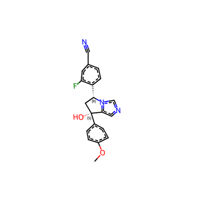 COc1ccc([C@@]2(O)C[C@H](c3ccc(C#N)cc3F)n3cncc32)cc1